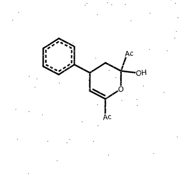 CC(=O)C1=CC(c2ccccc2)CC(O)(C(C)=O)O1